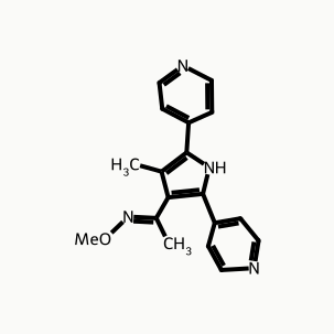 CO/N=C(\C)c1c(-c2ccncc2)[nH]c(-c2ccncc2)c1C